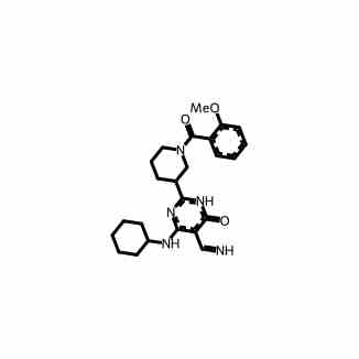 COc1ccccc1C(=O)N1CCCC(c2nc(NC3CCCCC3)c(C=N)c(=O)[nH]2)C1